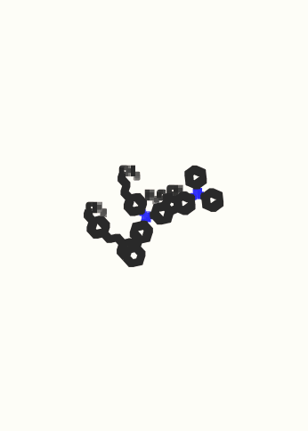 C=Cc1ccc(CCC2CC3CCCC(c4ccc(N(c5ccc(CCCC)cc5)c5ccc6c(c5)C(C)(C)c5cc(N(c7ccccc7)c7ccccc7)ccc5-6)cc4)(C3)C2)cc1